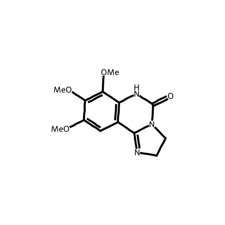 COc1cc2c(c(OC)c1OC)NC(=O)N1CCN=C21